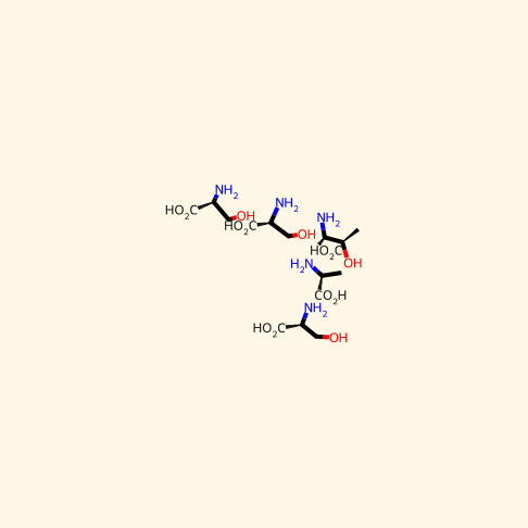 C[C@@H](O)[C@H](N)C(=O)O.C[C@H](N)C(=O)O.N[C@@H](CO)C(=O)O.N[C@@H](CO)C(=O)O.N[C@@H](CO)C(=O)O